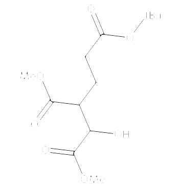 COC(=O)C(O)C(CCC(=O)OC(C)(C)C)C(=O)OC